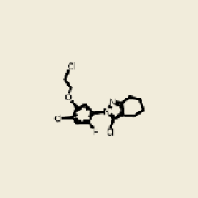 Fc1cc(Cl)c(OCCCl)cc1-n1nc2c(c1Cl)CCCC2